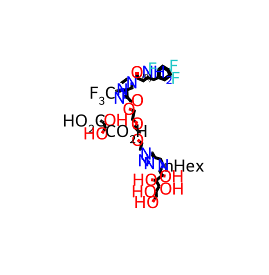 CCCCCCN(Cc1cn(CCOCCOCCOC(=O)c2nc(C(F)(F)F)n3c2CN(C(=O)C[C@H](N)Cc2cc(F)c(F)cc2F)CC3)nn1)CC(O)C(O)C(O)C(O)CO.O=C(O)C(O)C(O)C(=O)O